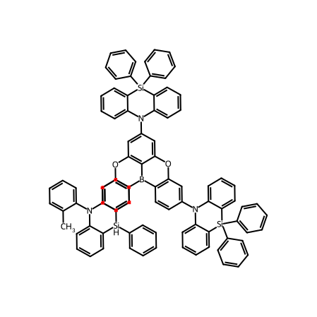 Cc1ccccc1N(c1ccc2c(c1)Oc1cc(N3c4ccccc4[Si](c4ccccc4)(c4ccccc4)c4ccccc43)cc3c1B2c1ccc(N2c4ccccc4[Si](c4ccccc4)(c4ccccc4)c4ccccc42)cc1O3)c1ccccc1[SiH](c1ccccc1)c1ccccc1